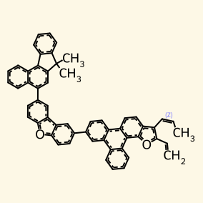 C=Cc1oc2c(ccc3c4ccc(-c5ccc6oc7ccc(-c8cc9c(c%10ccccc8%10)-c8ccccc8C9(C)C)cc7c6c5)cc4c4ccccc4c32)c1/C=C\C